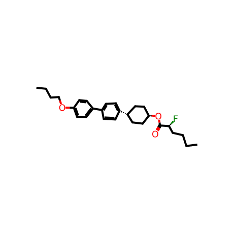 CCCCOc1ccc(-c2ccc([C@H]3CC[C@H](OC(=O)[C@@H](F)CCCC)CC3)cc2)cc1